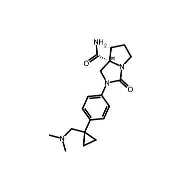 CN(C)CC1(c2ccc(N3C[C@@]4(C(N)=O)[CH]CCN4C3=O)cc2)CC1